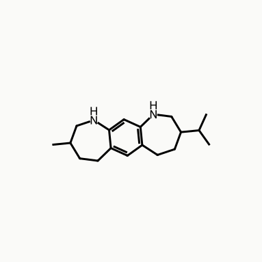 CC1CCc2cc3c(cc2NC1)NCC(C(C)C)CC3